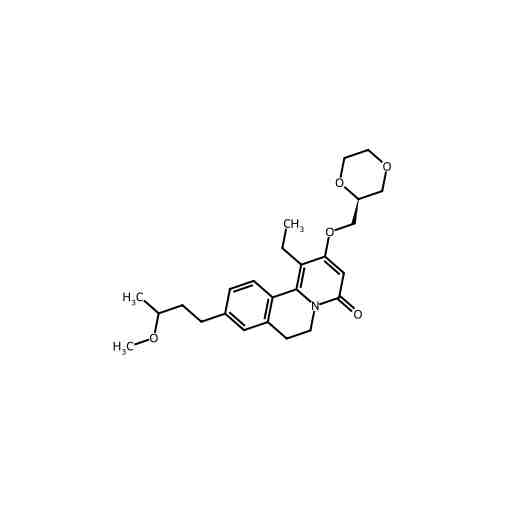 CCc1c(OC[C@@H]2COCCO2)cc(=O)n2c1-c1ccc(CCC(C)OC)cc1CC2